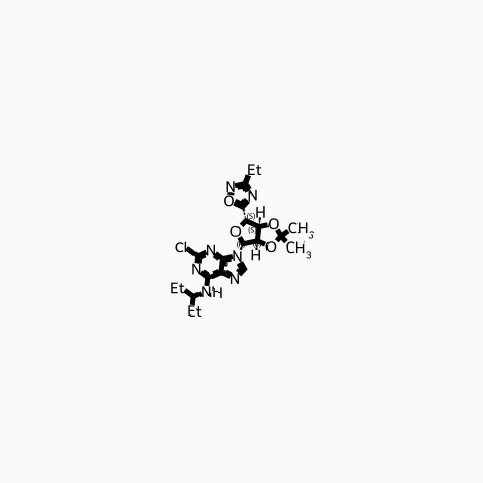 CCc1noc([C@H]2O[C@@H](n3cnc4c(NC(CC)CC)nc(Cl)nc43)[C@@H]3OC(C)(C)O[C@@H]32)n1